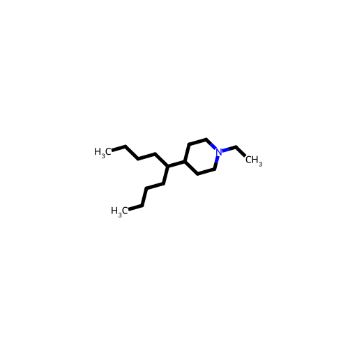 CCCCC(CCCC)C1CCN(CC)CC1